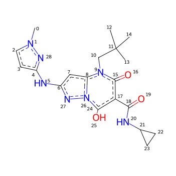 Cn1ccc(Nc2cc3n(CC(C)(C)C)c(=O)c(C(=O)NC4CC4)c(O)n3n2)n1